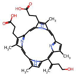 C=C(CCO)c1c2nc(cc3[nH]c(cc4nc(cc5[nH]c1cc5C)C(C)=C4CCC(=O)O)c(CCC(=O)O)c3C)C=C2C